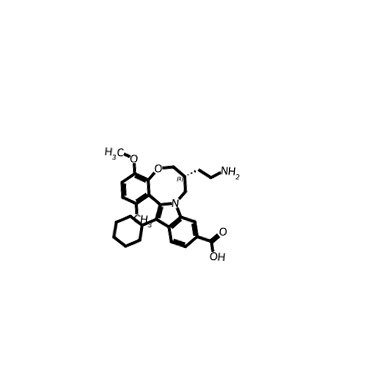 COc1ccc(C)c2c1OC[C@H](CCN)Cn1c-2c(C2CCCCC2)c2ccc(C(=O)O)cc21